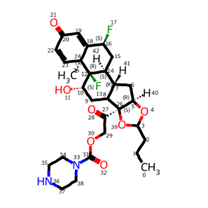 CCCC1O[C@@H]2C[C@@H]3C(C[C@H](O)[C@@]4(F)[C@H]3C[C@H](F)C3=CC(=O)C=C[C@@]34C)[C@]2(C(=O)COC(=O)N2CCNCC2)O1